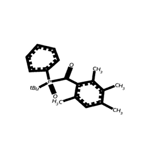 Cc1cc(C)c(C(=O)P(=O)(c2ccccc2)C(C)(C)C)c(C)c1C